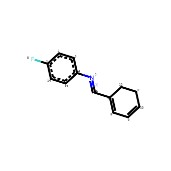 Fc1ccc(/N=C/C2=CC=CCC2)cc1